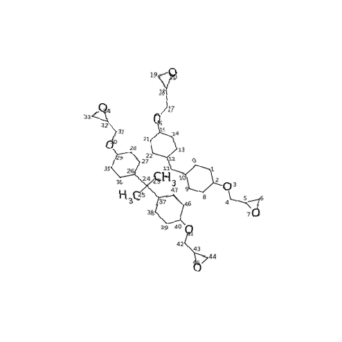 C1CC(OCC2CO2)CCC1CC1CCC(OCC2CO2)CC1.CC(C)(C1CCC(OCC2CO2)CC1)C1CCC(OCC2CO2)CC1